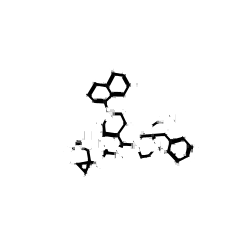 CN(C)CC1(Oc2nc3c(c(N4CCN(C(=O)O)[C@](CC#N)(Cc5ccccc5)C4)n2)CCN(c2cccc4ccccc24)C3)CC1